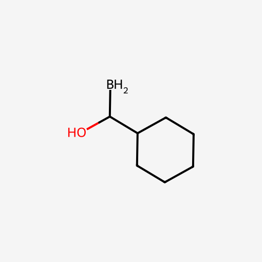 BC(O)C1CCCCC1